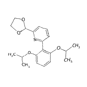 CC(C)Oc1cccc(OC(C)C)c1-c1cccc(C2OCCO2)n1